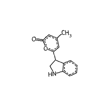 Cc1cc(C2CNc3ccccc32)oc(=O)c1